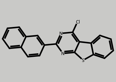 Clc1nc(-c2ccc3ccccc3c2)nc2sc3ccccc3c12